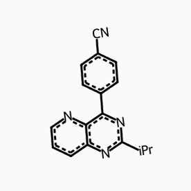 CC(C)c1nc(-c2ccc(C#N)cc2)c2ncccc2n1